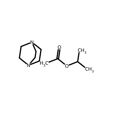 C1CN2CCN1CC2.CC(=O)OC(C)C